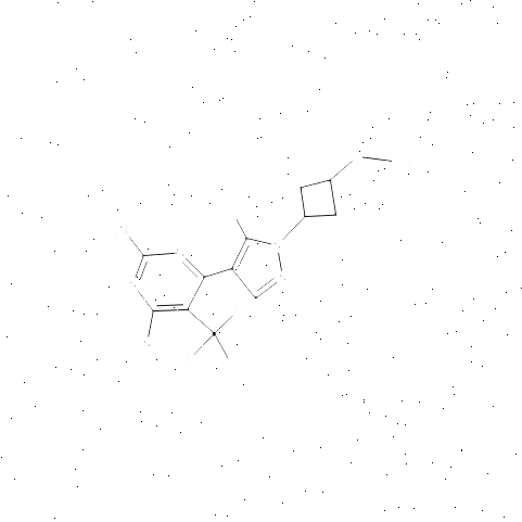 CSC1CC(n2ncc(-c3nc(N)nc(N)c3C(F)(F)F)c2C)C1